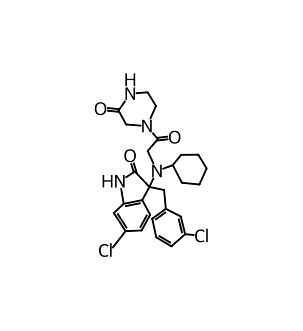 O=C1CN(C(=O)CN(C2CCCCC2)C2(Cc3cccc(Cl)c3)C(=O)Nc3cc(Cl)ccc32)CCN1